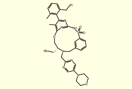 Cc1cccc(CC(C)C)c1-c1nc2nc(c1C)OC[C@@H](CC(C)(C)C)N(Cc1ncc(N3CCOCC3)cn1)Cc1cccc(c1)S(=O)(=O)N2